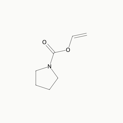 C=COC(=O)N1CCCC1